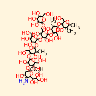 C[C@@H]1OC(CO)[C@@H](O[C@@H]2OC(CO)[C@@H](O[C@@H]3OC(CO[C@H]4OC(CO)[C@@H](O)C(O)[C@H]4O)[C@@H](O)C(O[C@H]4O[C@H](CO)[C@@H](O)C(O)C4O[C@@H]4OC(CO)[C@@H](O[C@@H]5OC(CO)[C@H](O)C(O[C@]6(C(=O)O)C[C@@H](O)[C@@H](N)C(C(O)C(O)CO)O6)[C@@H]5O)C(O)[C@@H]4C)[C@H]3O)C(O)[C@@H]2C)C(O)[C@@H]1C